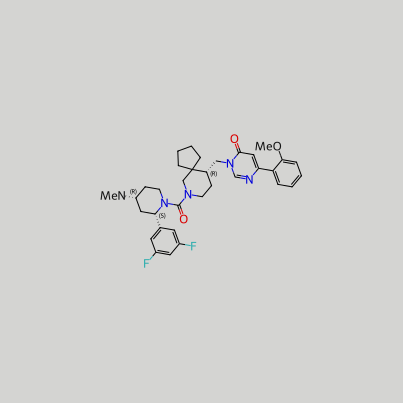 CN[C@@H]1CCN(C(=O)N2CC[C@@H](Cn3cnc(-c4ccccc4OC)cc3=O)C3(CCCC3)C2)[C@H](c2cc(F)cc(F)c2)C1